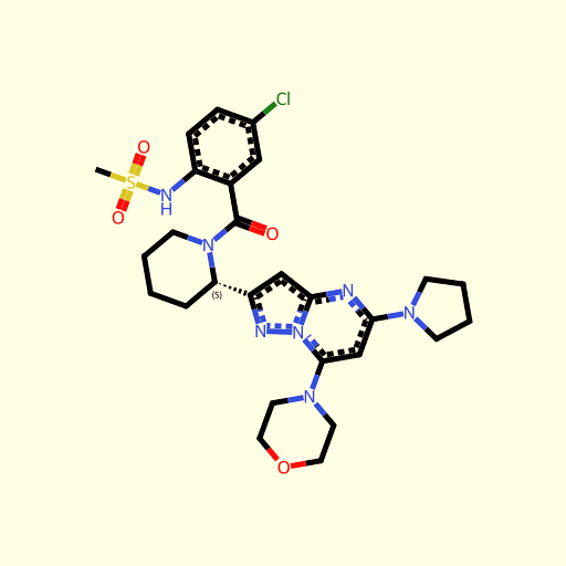 CS(=O)(=O)Nc1ccc(Cl)cc1C(=O)N1CCCC[C@H]1c1cc2nc(N3CCCC3)cc(N3CCOCC3)n2n1